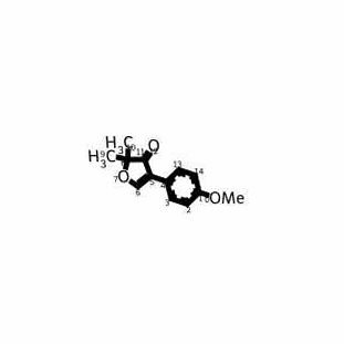 COc1ccc(C2=COC(C)(C)C2=O)cc1